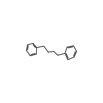 [C](CCc1ccccc1)Cc1ccccc1